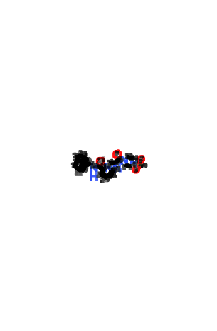 CS(=O)(=O)N1CCN(C(=O)c2cn3c(C(=O)NCC45CC6CC(CC(C6)C4)C5)cccc3n2)CC1